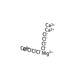 [Ca+2].[Ca+2].[Ca+2].[Cl-].[Cl-].[Cl-].[Cl-].[Cl-].[Cl-].[Cl-].[Cl-].[Mg+2]